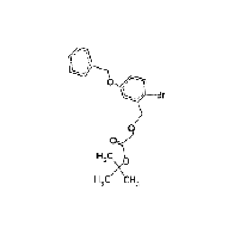 CC(C)(C)OC(=O)COCc1cc(OCc2ccccc2)ccc1Br